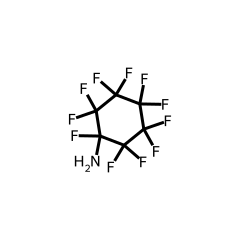 NC1(F)C(F)(F)C(F)(F)C(F)(F)C(F)(F)C1(F)F